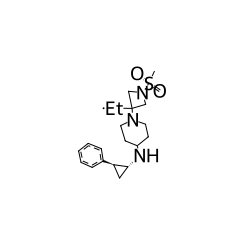 [CH2][CH]C1(N2CCC(N[C@@H]3C[C@H]3c3ccccc3)CC2)CN(S(C)(=O)=O)C1